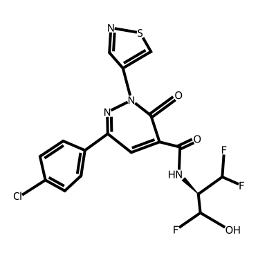 O=C(N[C@H](C(O)F)C(F)F)c1cc(-c2ccc(Cl)cc2)nn(-c2cnsc2)c1=O